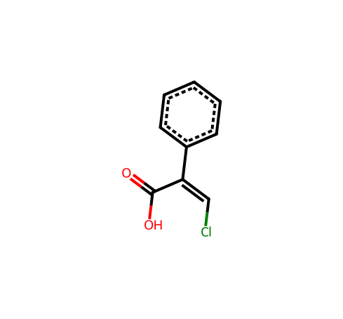 O=C(O)C(=CCl)c1ccccc1